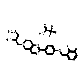 CC(CC(=O)O)CN1CCc2nc(-c3ccc(OCc4cccc(F)c4F)cc3)ncc2C1.O=C(O)C(F)(F)F